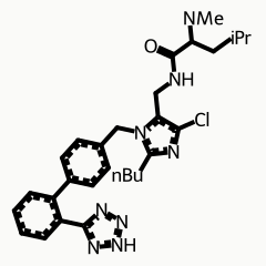 CCCCc1nc(Cl)c(CNC(=O)C(CC(C)C)NC)n1Cc1ccc(-c2ccccc2-c2nn[nH]n2)cc1